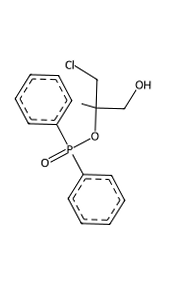 CC(CO)(CCl)OP(=O)(c1ccccc1)c1ccccc1